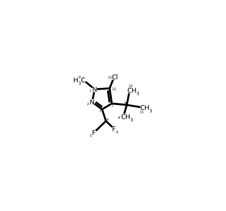 Cn1nc(C(F)F)c(C(C)(C)C)c1Cl